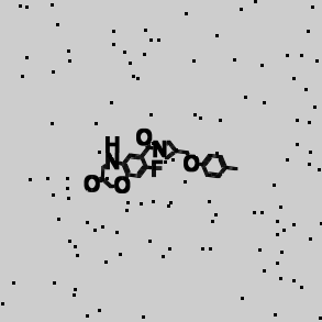 Cc1ccc(OCC2CN(C(=O)c3cc4c(cc3F)OCC(=O)CN4)C2)cc1